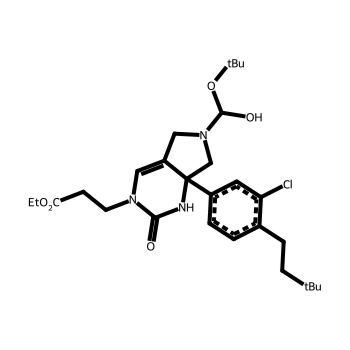 CCOC(=O)CCN1C=C2CN(C(O)OC(C)(C)C)CC2(c2ccc(CCC(C)(C)C)c(Cl)c2)NC1=O